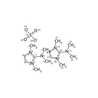 CN(C)c1n(C)cc[n+]1C.CN(C)c1n(C)cc[n+]1C.O=S(=O)([O-])[O-]